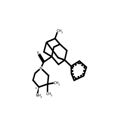 CC1C2CC3(C(=S)N4CC[C@H](N)C(C)(C)C4)CC1CC(c1ccccc1)(C2)C3